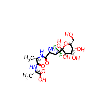 C[C@H](NC(=O)[C@H](C)NC(=O)C(N)CC(F)(F)[C@]1(O)O[C@H](CO)[C@H](O)[C@H](O)[C@H]1O)C(=O)O